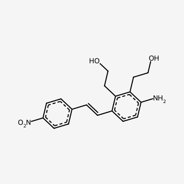 Nc1ccc(C=Cc2ccc([N+](=O)[O-])cc2)c(CCO)c1CCO